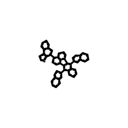 c1ccc2cc(-c3c4c(c(-c5ccc6ccccc6c5)c5ccccc35)-c3ccc(-c5cc6ccccc6c6ccsc56)c5cccc-4c35)ccc2c1